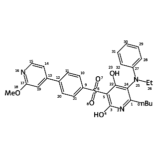 CCCCc1nc(O)c(S(=O)(=O)c2ccc(-c3ccnc(OC)c3)cc2)c(O)c1N(CC)c1ccccc1